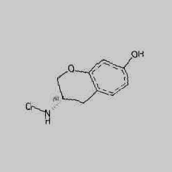 Oc1ccc2c(c1)OC[C@@H](NCl)C2